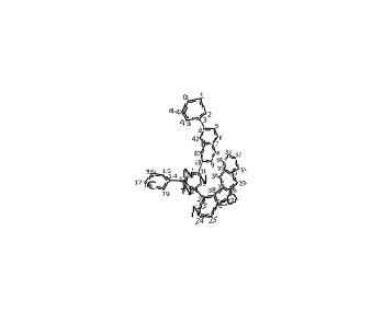 c1ccc(-c2ccc3ccc(-c4nc(-c5ccccc5)nc(-c5nccc6oc7cc8ccccc8cc7c56)n4)cc3c2)cc1